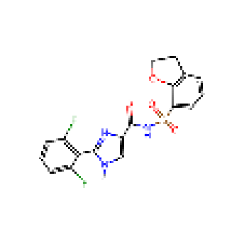 Cn1cc(C(=O)NS(=O)(=O)c2cccc3c2OCC3)nc1-c1c(F)cccc1F